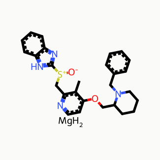 Cc1c(OCC2CCCCN2Cc2ccccc2)ccnc1C[S+]([O-])c1nc2ccccc2[nH]1.[MgH2]